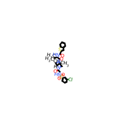 CC(C)(C)C(NC(=O)c1cc2ccccc2s1)C(=O)N1C[C@H]2N(C(=O)CNS(=O)(=O)c3cccc(Cl)c3)CC21C